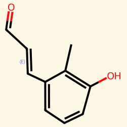 Cc1c(O)cccc1/C=C/C=O